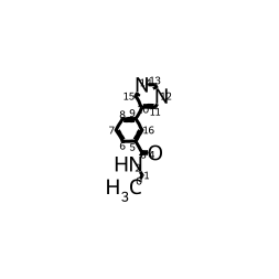 CCNC(=O)c1cccc(-c2cncnc2)c1